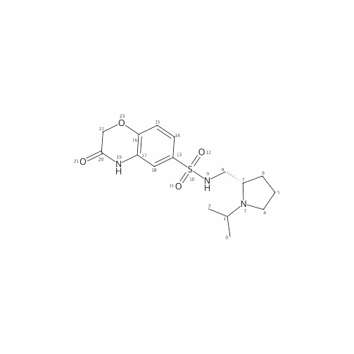 CC(C)N1CCC[C@H]1CNS(=O)(=O)c1ccc2c(c1)NC(=O)CO2